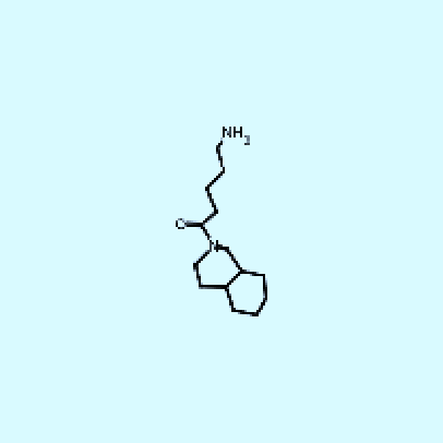 NCCCCC(=O)N1CCC2CCCCC2C1